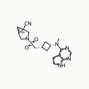 CN(c1ncnc2[nH]ccc12)[C@H]1C[C@@H](CS(=O)(=O)N2CC3=C[C@]3(C#N)C2)C1